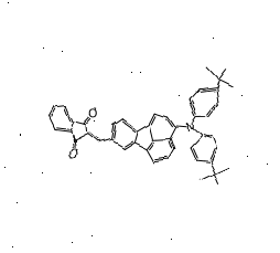 CC(C)(C)c1ccc(N(c2ccc(C(C)(C)C)cc2)c2ccc3c4c(cccc24)-c2cc(C=C4C(=O)c5ccccc5C4=O)ccc2-3)cc1